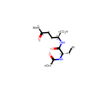 CCCCCCCCC(=O)N[C@@H](CC(C)C)C(=O)N[C@@H](CCC(=O)NC)C(=O)O